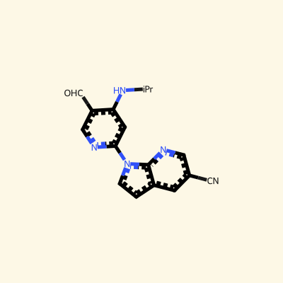 CC(C)Nc1cc(-n2ccc3cc(C#N)cnc32)ncc1C=O